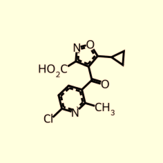 Cc1nc(Cl)ccc1C(=O)c1c(C(=O)O)noc1C1CC1